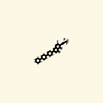 Fc1cc2cc(C3CCC(C4CCC(C5CCCCC5)CC4)CC3)cc(F)c2c(F)c1C#CC(F)(F)F